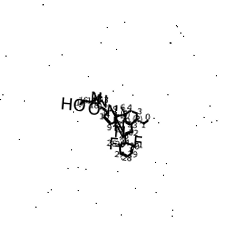 CC[C@@H]1CC[C@@](C)(c2cccc(-c3nnc(CO)o3)n2)c2nnc(-c3c(F)cccc3F)cc21